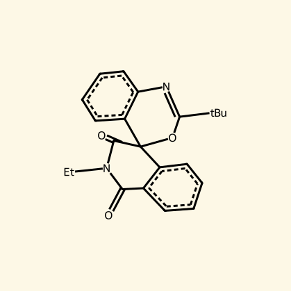 CCN1C(=O)c2ccccc2C2(OC(C(C)(C)C)=Nc3ccccc32)C1=O